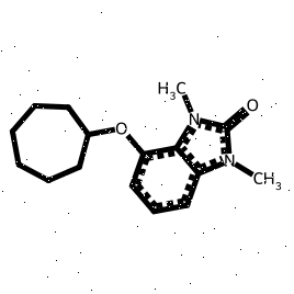 Cn1c(=O)n(C)c2c(OC3CCCCCC3)cccc21